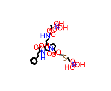 CC(OC(=O)NCCCCC(NC(CCc1ccccc1)C(=O)O)C(=O)N1CCCC1C(=O)OCCSCCON(O)O)ON(O)O